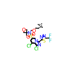 CC1(N(COCC[Si](C)(C)C)S(=O)(=O)c2cc(Cl)c3c(Cl)nc(-c4nnc(C(F)F)s4)n3c2)COC1